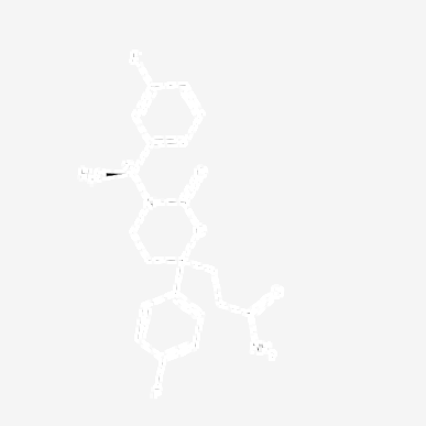 C[C@@H](c1cccc(F)c1)N1CCC(CCC(N)=O)(c2ccc(F)cc2)OC1=O